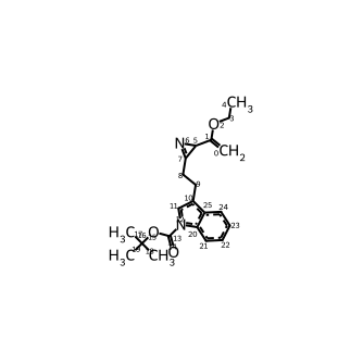 C=C(OCC)C1N=C1CCc1cn(C(=O)OC(C)(C)C)c2ccccc12